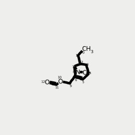 CCC1CC2C=CC1N(COC=O)C2